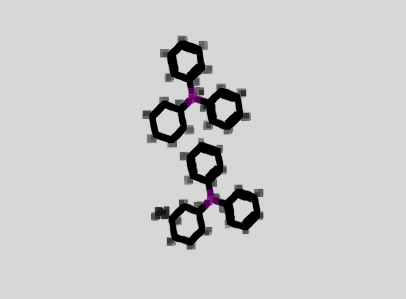 [Pd].c1ccc(P(c2ccccc2)C2CCCCC2)cc1.c1ccc(P(c2ccccc2)C2CCCCC2)cc1